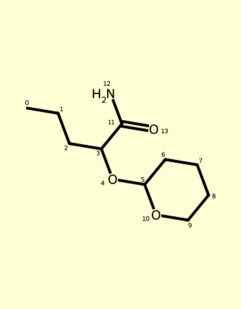 CCCC(OC1CCCCO1)C(N)=O